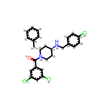 O=C(c1cc(Cl)cc(Cl)c1)N1CC[C@H](NCc2ccc(Cl)cc2)C[C@H]1Cc1ccccc1